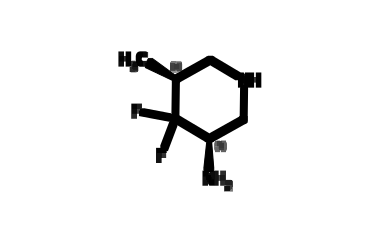 C[C@H]1CNC[C@@H](N)C1(F)F